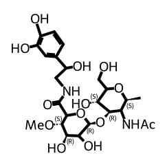 CO[C@@H]1C(C(=O)NCC(O)c2ccc(O)c(O)c2)O[C@@H](O[C@@H]2C(NC(C)=O)[C@H](C)OC(CO)[C@H]2O)C(O)[C@H]1O